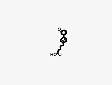 COc1cccc(C23CCC(CCCCC(=O)O)(CC2)CO3)c1